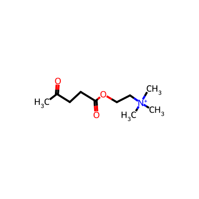 CC(=O)CCC(=O)OCC[N+](C)(C)C